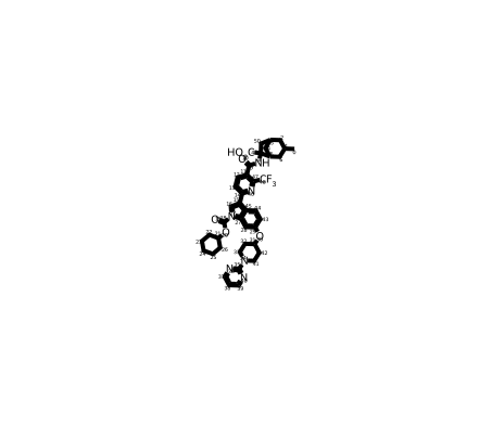 CC1CC2CC(C1)C(NC(=O)c1ccc(-c3cn(C(=O)OC4CCCCC4)c4cc(OC5CCN(c6ncccn6)CC5)ccc34)nc1C(F)(F)F)(C(=O)O)C2